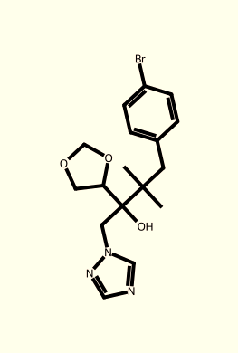 CC(C)(Cc1ccc(Br)cc1)C(O)(Cn1cncn1)C1COCO1